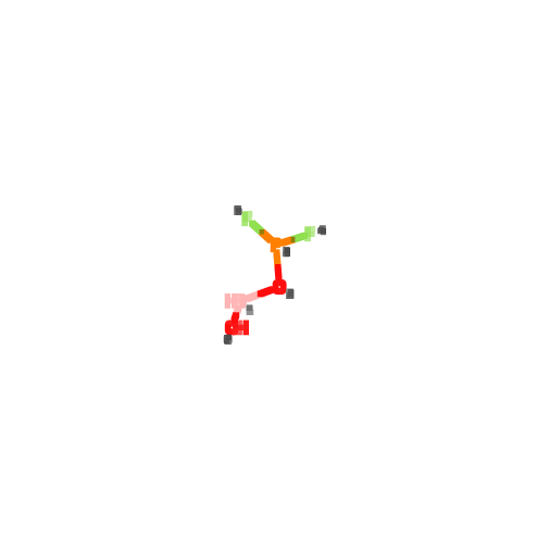 OBOP(F)F